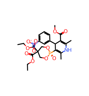 CCOC(=O)C1(C(=O)OCC)COP(=O)(C2=C(C)NC(C)=C(C(=O)OC)C2c2cccc([N+](=O)[O-])c2)OC1